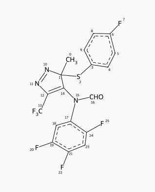 CC1(Sc2ccc(F)cc2)N=NC(C(F)(F)F)=C1N(C=O)c1cc(F)c(F)cc1F